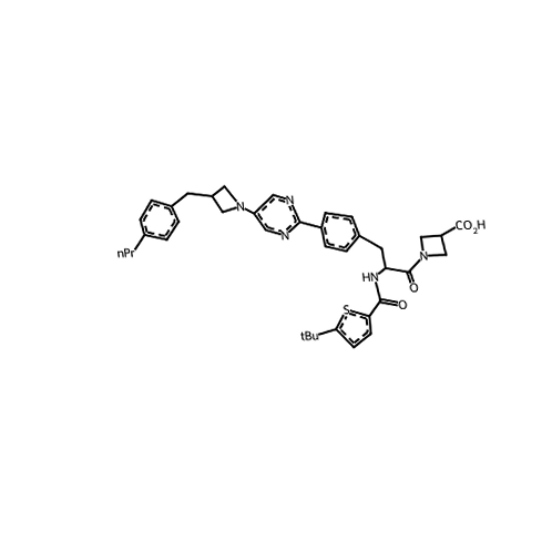 CCCc1ccc(CC2CN(c3cnc(-c4ccc(CC(NC(=O)c5ccc(C(C)(C)C)s5)C(=O)N5CC(C(=O)O)C5)cc4)nc3)C2)cc1